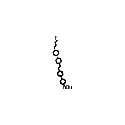 CCCCc1ccc(-c2ccc(CCC3CCC([C@H]4CC[C@H](CCCCF)CC4)CC3)cc2)cc1